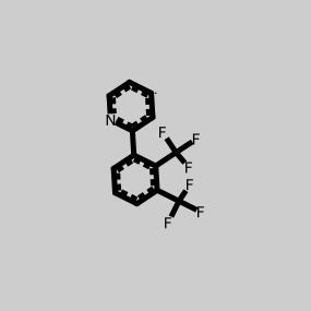 FC(F)(F)c1cccc(-c2c[c]ccn2)c1C(F)(F)F